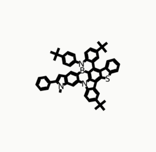 Cn1c(-c2ccccc2)cc2cc3c(cc21)-n1c2ccc(C(C)(C)C)cc2c2c4sc5ccccc5c4c4c(c21)B3N(c1ccc(C(C)(C)C)cc1)c1ccc(C(C)(C)C)cc1-4